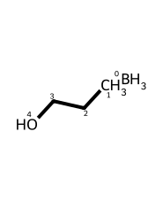 B.CCCO